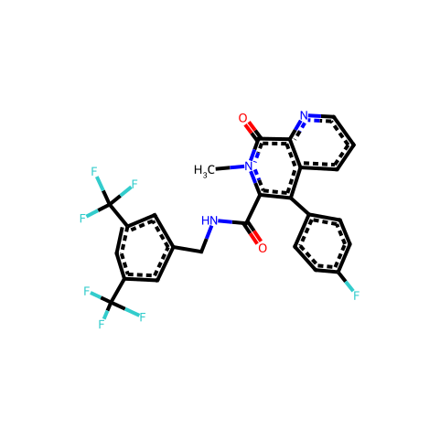 Cn1c(C(=O)NCc2cc(C(F)(F)F)cc(C(F)(F)F)c2)c(-c2ccc(F)cc2)c2cccnc2c1=O